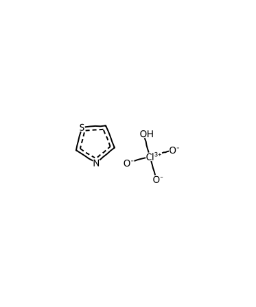 [O-][Cl+3]([O-])([O-])O.c1cscn1